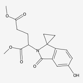 COC(=O)CCC(C(=O)OC)N1C(=O)c2cc(O)ccc2C12CC2